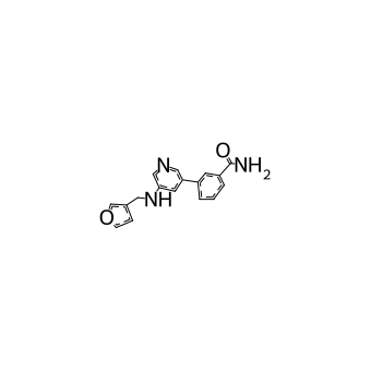 NC(=O)c1cccc(-c2cncc(NCc3ccoc3)c2)c1